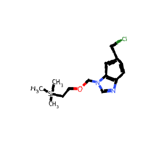 C[Si](C)(C)CCOCn1cnc2ccc(CCl)cc21